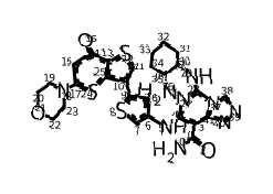 NC(=O)c1c(Nc2csc(-c3csc4c(=O)cc(N5CCOCC5)sc34)c2)nc(N[C@H]2CCCC[C@H]2N)n2cnnc12